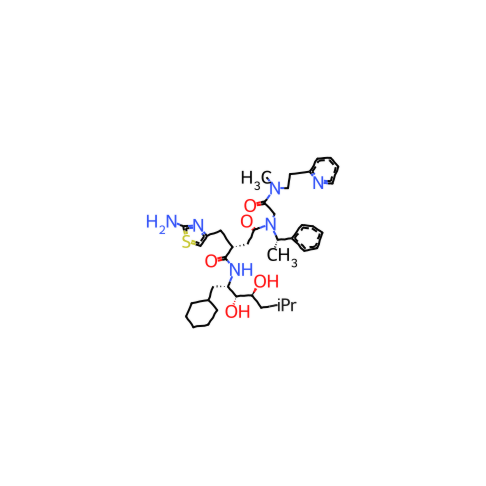 CC(C)C[C@H](O)[C@H](O)[C@H](CC1CCCCC1)NC(=O)[C@@H](CC(=O)N(CC(=O)N(C)CCc1ccccn1)[C@@H](C)c1ccccc1)Cc1csc(N)n1